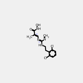 C=N/C(=N\C=C(/C)C(=O)NO)NCCc1c(Cl)cccc1Cl